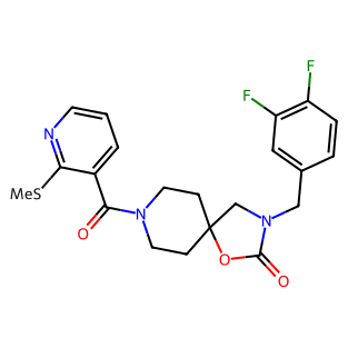 CSc1ncccc1C(=O)N1CCC2(CC1)CN(Cc1ccc(F)c(F)c1)C(=O)O2